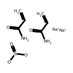 C=CC(N)=O.C=CC(N)=O.O=[Si]([O-])[O-].[Na+].[Na+]